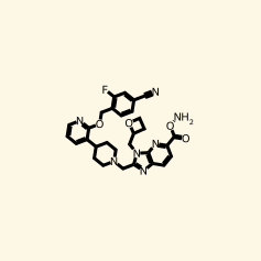 N#Cc1ccc(COc2ncccc2C2CCN(Cc3nc4ccc(C(=O)ON)nc4n3CC3CCO3)CC2)c(F)c1